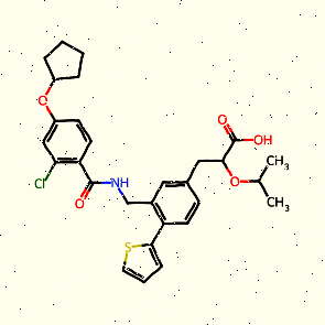 CC(C)OC(Cc1ccc(-c2cccs2)c(CNC(=O)c2ccc(OC3CCCC3)cc2Cl)c1)C(=O)O